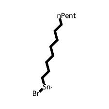 CCCCCCCCCCCC[CH2][Sn][Br]